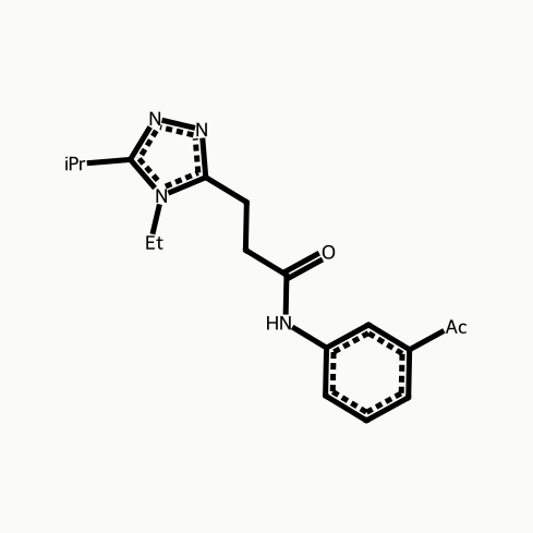 CCn1c(CCC(=O)Nc2cccc(C(C)=O)c2)nnc1C(C)C